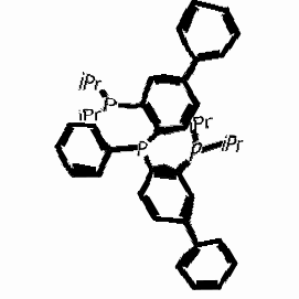 CC(C)P(c1cc(-c2ccccc2)ccc1P(c1ccccc1)c1ccc(-c2ccccc2)cc1P(C(C)C)C(C)C)C(C)C